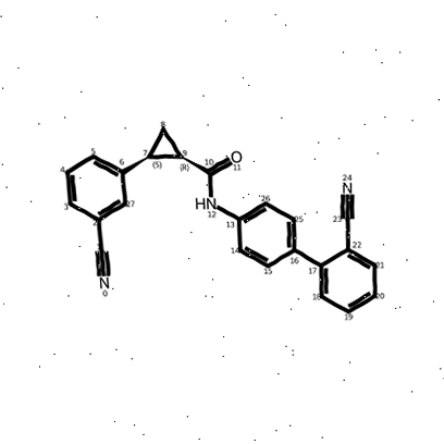 N#Cc1cccc([C@H]2C[C@H]2C(=O)Nc2ccc(-c3ccccc3C#N)cc2)c1